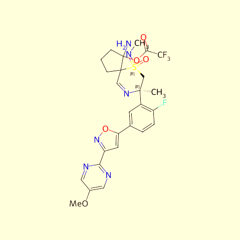 CN=[S@@]1(=O)C[C@@](C)(c2cc(-c3cc(-c4ncc(OC)cn4)no3)ccc2F)N=CC12CCCC2(N)OC(=O)C(F)(F)F